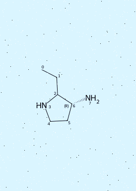 CCC1NCC[C@H]1N